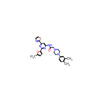 Cc1ccc(-c2nc(NC(=O)CN3CCN(c4ccc(C)c(C)c4)CC3)cc(-c3nccs3)n2)o1